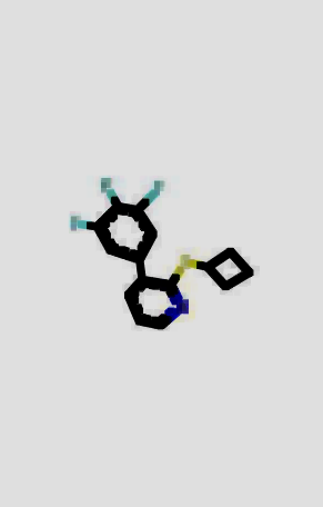 Fc1cc(-c2cccnc2SC2CCC2)cc(F)c1F